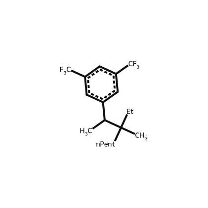 CCCCCC(C)(CC)C(C)c1cc(C(F)(F)F)cc(C(F)(F)F)c1